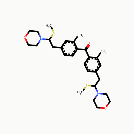 CSC(Cc1ccc(C(=O)c2ccc(CC(SC)N3CCOCC3)cc2C)c(C)c1)N1CCOCC1